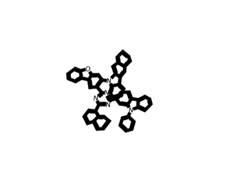 c1ccc(-n2c3ccccc3c3ccc(-c4nc(-c5cc6c(cc5-n5c7ccccc7c7cc8ccccc8cc75)oc5ccccc56)nc(-c5cccc6ccccc56)n4)cc32)cc1